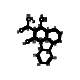 O=C(c1c(O)c2cccc3c2n(c1=O)C1C=CC=CC31)C(F)(F)F